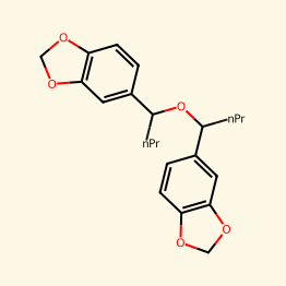 CCCC(OC(CCC)c1ccc2c(c1)OCO2)c1ccc2c(c1)OCO2